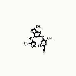 Cc1cc(C#N)ncc1Oc1cc(Nc2c[nH]nc2C)c2ncn(C)c2n1